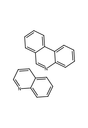 c1ccc2c(c1)cnc1ccccc12.c1ccc2ncccc2c1